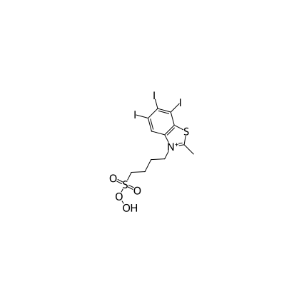 Cc1sc2c(I)c(I)c(I)cc2[n+]1CCCCS(=O)(=O)OO